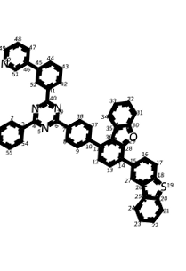 c1ccc(-c2nc(-c3ccc(-c4ccc(-c5ccc6sc7ccccc7c6c5)c5oc6ccccc6c45)cc3)nc(-c3cccc(-c4cccnc4)c3)n2)cc1